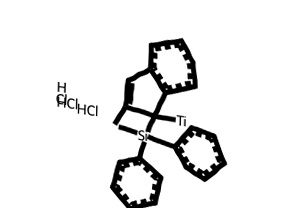 CC1=Cc2ccccc2[C]1([Ti])[Si](C)(c1ccccc1)c1ccccc1.Cl.Cl.Cl